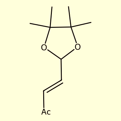 CC(=O)/C=C/C1OC(C)(C)C(C)(C)O1